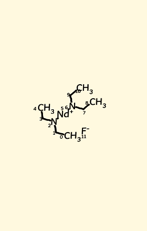 CC[N](CC)[Nd+][N](CC)CC.[F-]